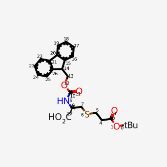 CC(C)(C)OC(=O)CCSC[C@H](NC(=O)OCC1c2ccccc2-c2ccccc21)C(=O)O